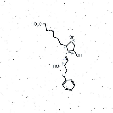 O=C(O)CCCCCC[C@@H]1[C@@H](/C=C/[C@@H](O)COc2ccccc2)[C@H](O)C[C@H]1Br